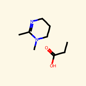 CC1=NCCCN1C.CCC(=O)O